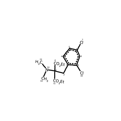 CCOC(=O)C(Cc1ccc(Cl)cc1Cl)(C(=O)OCC)N(C)C